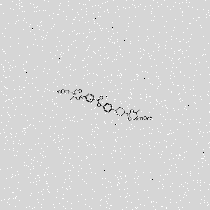 CCCCCCCC[C@@H]1CO[C@@H](c2ccc(C(=O)Oc3ccc(C4CCC([C@@H]5OC[C@@H](CCCCCCCC)C(C)O5)CC4)cc3)cc2)OC1C